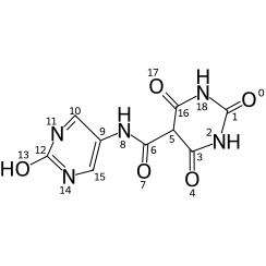 O=C1NC(=O)C(C(=O)Nc2cnc(O)nc2)C(=O)N1